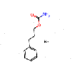 NC(=O)OCCCc1ccccc1.[Ne]